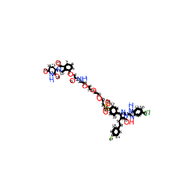 O=C(COc1cccc2c1CN(C1CCC(=O)NC1=O)C2=O)NCCOCCOCCOCCS(=O)(=O)c1ccc(-c2nn(-c3nc4cc(Cl)ccc4[nH]3)c(O)c2CCc2ccc(F)cc2)cc1